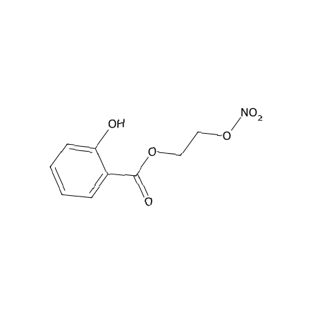 O=C(OCCO[N+](=O)[O-])c1ccccc1O